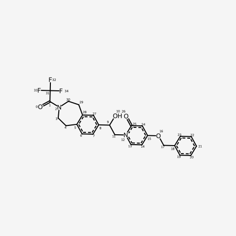 O=C(N1CCc2ccc(C(O)Cn3ccc(OCc4ccccc4)cc3=O)cc2CC1)C(F)(F)F